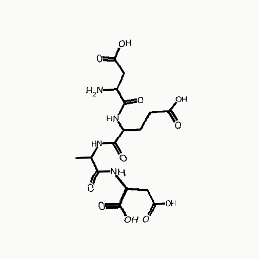 CC(NC(=O)C(CCC(=O)O)NC(=O)C(N)CC(=O)O)C(=O)NC(CC(=O)O)C(=O)O